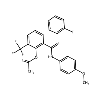 COc1ccc(NC(=O)c2cccc(C(F)(F)F)c2OC(C)=O)cc1.Fc1ccccc1